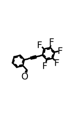 O=Cc1ccccc1C#Cc1c(F)c(F)c(F)c(F)c1F